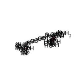 CC(C)(C)SSC(CNC(=O)CCOCCOCCOCCOCCNCc1ccc(C2=c3cc4c5c(c3Oc3c2cc2c6c3CCCN6CCC2)CCC[N+]=5CCC4)c(C(=O)O)c1)OC1C[C@H](n2cnc3c(N)ncnc32)O[C@@H]1COP(O)OP(O)O[PH](O)(O)O